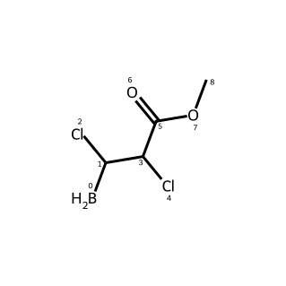 BC(Cl)C(Cl)C(=O)OC